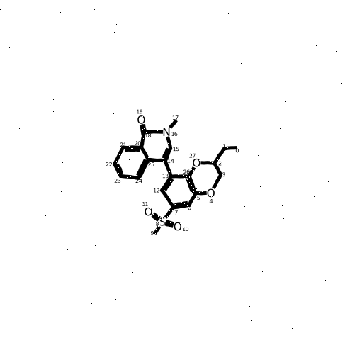 CCC1COc2cc(S(C)(=O)=O)cc(-c3cn(C)c(=O)c4ccccc34)c2O1